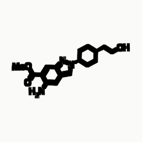 COC(=O)c1cc2nn([C@H]3CC[C@H](CCO)CC3)cc2cc1N